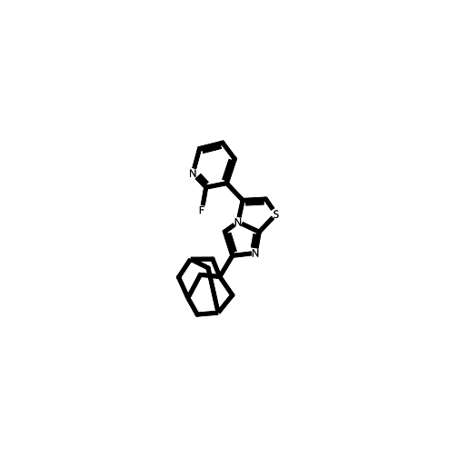 Fc1ncccc1-c1csc2nc(C34CC5CC(CC(C5)C3)C4)cn12